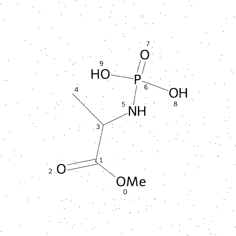 COC(=O)C(C)NP(=O)(O)O